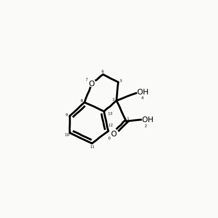 O=C(O)C1(O)CCOc2ccccc21